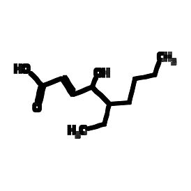 CCCCC(CC)C(O)C=CC(=O)O